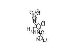 Cc1c(CN2CCN(C(=O)C3CCCO3)CC2)cc(Cl)cc1NC(=O)c1cncc(Cl)c1